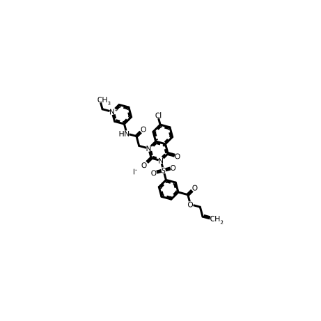 C=CCOC(=O)c1cccc(S(=O)(=O)n2c(=O)c3ccc(Cl)cc3n(CC(=O)Nc3ccc[n+](CC)c3)c2=O)c1.[I-]